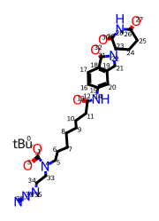 CC(C)(C)OC(=O)N(CCCCCCCC(=O)Nc1ccc2c(c1)CN(C1CCC(=O)NC1=O)C2=O)CCN=[N+]=[N-]